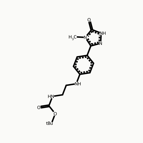 Cn1c(-c2ccc(NCCNC(=O)OC(C)(C)C)cc2)n[nH]c1=O